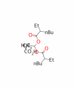 CC(=O)O.CCCCC(CC)C(=O)OC(C)OC(=O)C(CC)CCCC